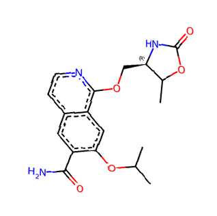 CC(C)Oc1cc2c(OC[C@H]3NC(=O)OC3C)nccc2cc1C(N)=O